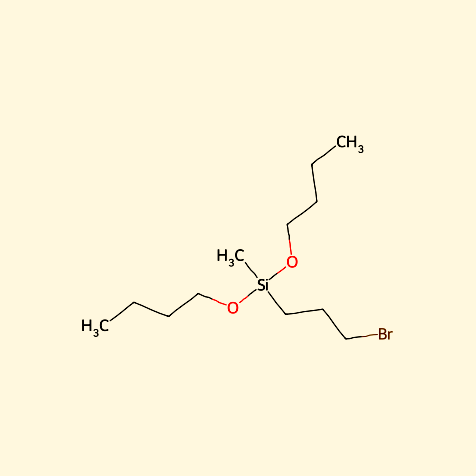 CCCCO[Si](C)(CCCBr)OCCCC